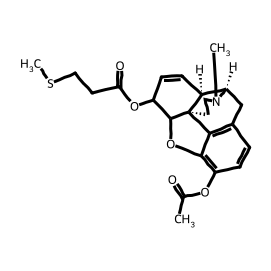 CSCCC(=O)OC1C=C[C@H]2[C@H]3Cc4ccc(OC(C)=O)c5c4[C@@]2(CCN3C)C1O5